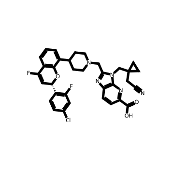 N#CCC1(Cn2c(CN3CCC(c4cccc5c4O[C@H](c4ccc(Cl)cc4F)C=C5F)CC3)nc3ccc(C(=O)O)nc32)CC1